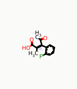 CC(=O)/C(=C(/C)C(=O)O)c1ccccc1F